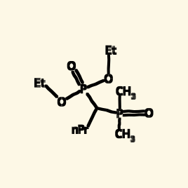 CCCC(P(C)(C)=O)P(=O)(OCC)OCC